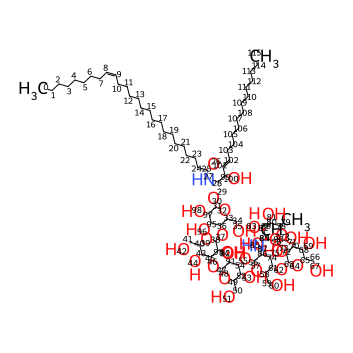 CCCCCCCC/C=C\CCCCCCCCCCCCCCCC(=O)N[C@@H](CO[C@@H]1OC(CO)[C@@H](O[C@@H]2OC(CO)[C@H](O)[C@H](O[C@H]3OC(CO)[C@H](O)[C@H](O[C@@H]4OC(CO)[C@@H](O[C@@H]5OC(CO)[C@H](O)[C@H](O)C5O)[C@H](O[C@H]5OC(C)[C@@H](O)C(O)[C@@H]5O)C4NC(C)=O)C3O)C2O)[C@H](O)C1O)[C@H](O)/C=C/CCCCCCCCCCCCC